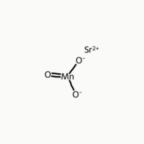 [O]=[Mn]([O-])[O-].[Sr+2]